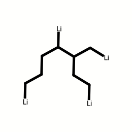 [Li][CH2]CC[CH]([Li])C([CH2][Li])C[CH2][Li]